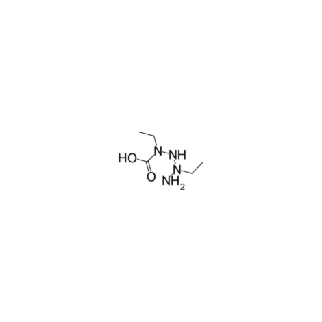 CCN(N)NN(CC)C(=O)O